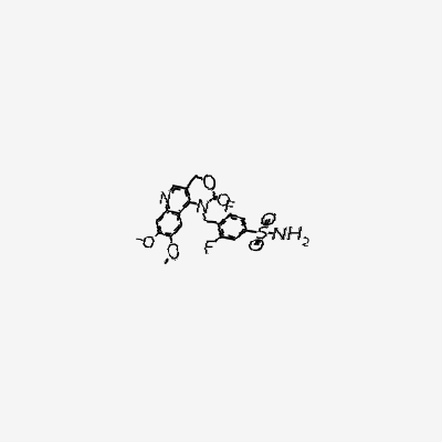 COc1cc2ncc3c(c2cc1OC)N(Cc1c(F)cc(S(N)(=O)=O)cc1F)C(=O)OC3